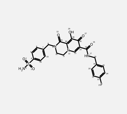 NS(=O)(=O)c1ccc(CN2CCn3cc(C(=O)NCc4ccc(F)cc4)c(=O)c(O)c3C2=O)cc1